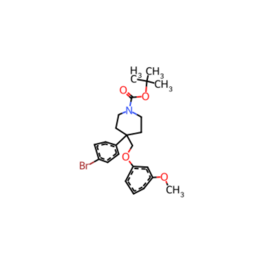 COc1cccc(OCC2(c3ccc(Br)cc3)CCN(C(=O)OC(C)(C)C)CC2)c1